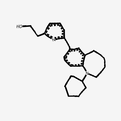 OCCc1cccc(-c2ccc3c(c2)CCCCN3C2CCCCC2)n1